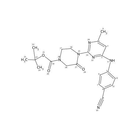 Cc1cc(Nc2ccc(C#N)cc2)nc(N2CCN(C(=O)OC(C)(C)C)CC2=O)n1